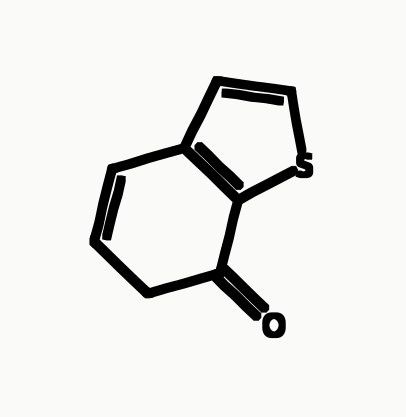 O=C1CC=Cc2ccsc21